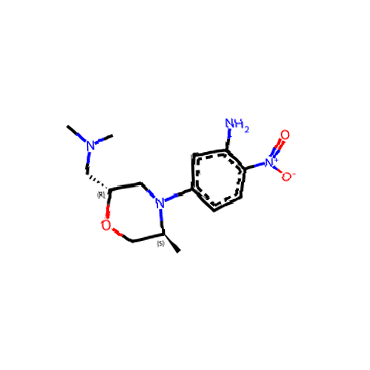 C[C@H]1CO[C@H](CN(C)C)CN1c1ccc([N+](=O)[O-])c(N)c1